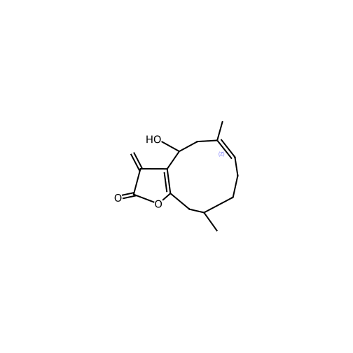 C=C1C(=O)OC2=C1C(O)C/C(C)=C\CCC(C)C2